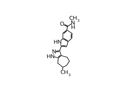 CNC(=O)c1ccc2cc(-c3n[nH]c4c3CCCC(C)C4)[nH]c2c1